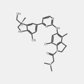 Cc1c(Nc2nccc(-c3cc(C#N)c4c(c3)[C@@](C)(CO)CN4)n2)cc(Cl)c2c1CCN2C(=O)CN(C)C